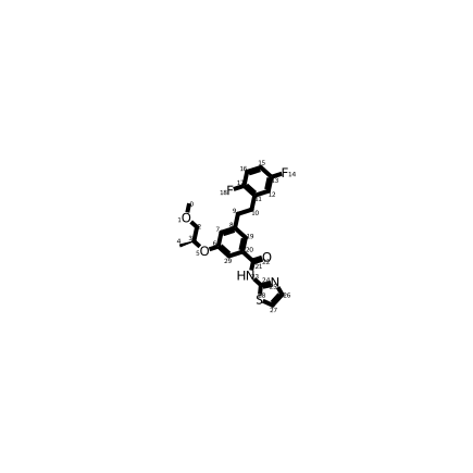 COC[C@H](C)Oc1cc(CCc2cc(F)ccc2F)cc(C(=O)Nc2nccs2)c1